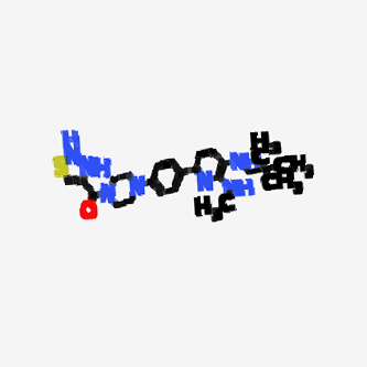 CNc1nc(-c2ccc(N3CCN(C(=O)C4=CSNN4)CC3)cc2)ccc1NCC(C)(C)C